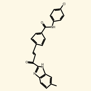 Cc1ccc2nc(C(=O)C=Cc3ccc(C(=O)Nc4ccc(Cl)cc4)cc3)[nH]c2c1